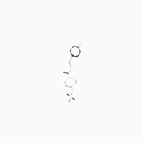 CS(=O)(=O)O[C@H]1CC[C@@H](C(=O)OCc2ccc([N+](=O)[O-])cc2)N(C(=O)O)C1